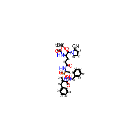 CC(NC(=O)CCC(NC(=O)OC(C)(C)C)C(=O)N1CCCC1C#N)P(=O)(O)CC(Cc1ccccc1)C(=O)NCc1ccccc1